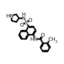 Cc1ccccc1C(=O)Nc1ccc(S(=O)(=O)NC2CCNC2)c2ccccc12